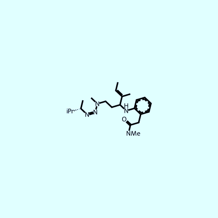 C/C=C(\C)C(CCN(C)/N=N\[C@@H](C)C(C)C)Nc1ccccc1CC(=O)NC